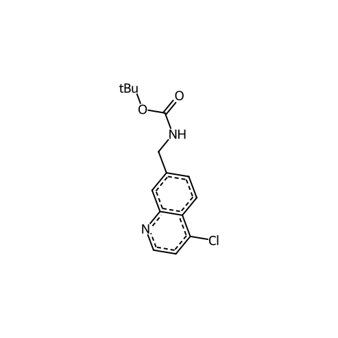 CC(C)(C)OC(=O)NCc1ccc2c(Cl)ccnc2c1